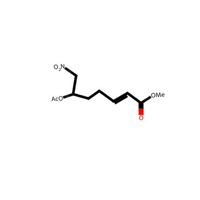 COC(=O)C=CCCC(C[N+](=O)[O-])OC(C)=O